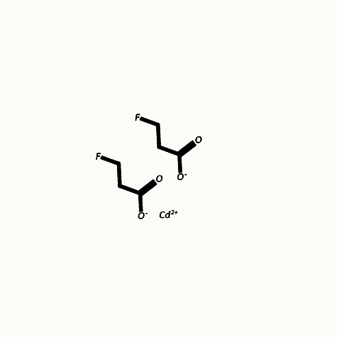 O=C([O-])CCF.O=C([O-])CCF.[Cd+2]